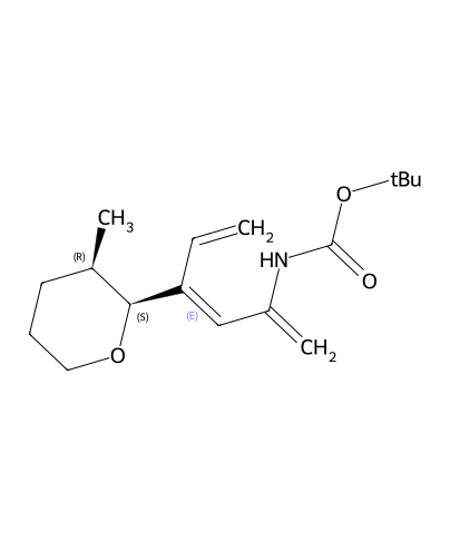 C=C/C(=C\C(=C)NC(=O)OC(C)(C)C)[C@H]1OCCC[C@H]1C